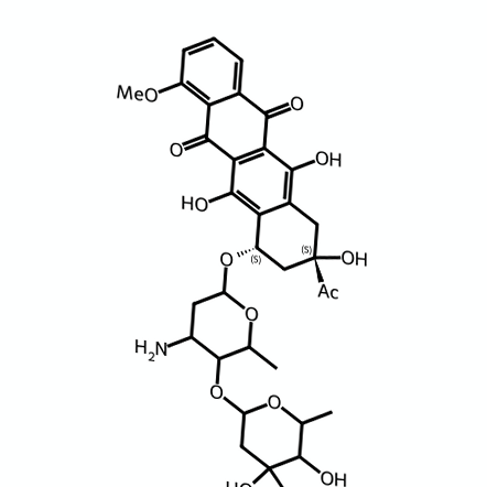 COc1cccc2c1C(=O)c1c(O)c3c(c(O)c1C2=O)C[C@@](O)(C(C)=O)C[C@@H]3OC1CC(N)C(OC2CC(C)(O)C(O)C(C)O2)C(C)O1